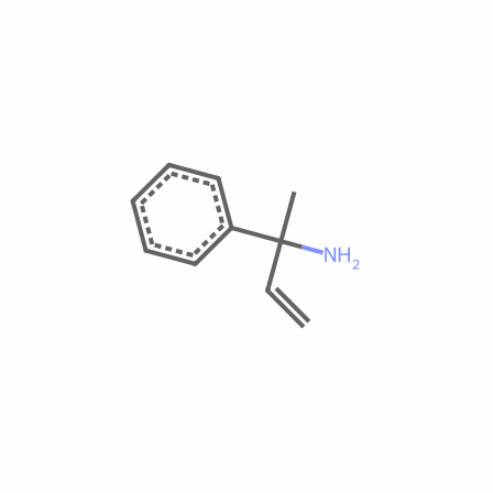 C=CC(C)(N)c1ccccc1